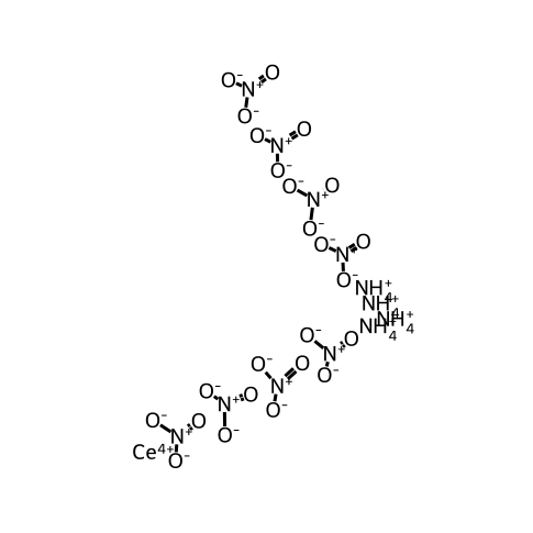 O=[N+]([O-])[O-].O=[N+]([O-])[O-].O=[N+]([O-])[O-].O=[N+]([O-])[O-].O=[N+]([O-])[O-].O=[N+]([O-])[O-].O=[N+]([O-])[O-].O=[N+]([O-])[O-].[Ce+4].[NH4+].[NH4+].[NH4+].[NH4+]